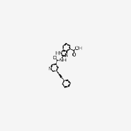 O=C(Nc1nc2c(C(=O)O)cccc2[nH]1)c1cncc(C#Cc2ccccc2)c1